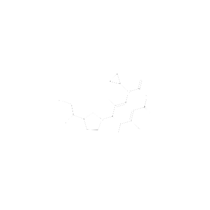 CC1=c2c(c(=O)[nH]c(=O)n2C2CC2)=C(N)C(F)C1N1CCC(C(N)CO)C1